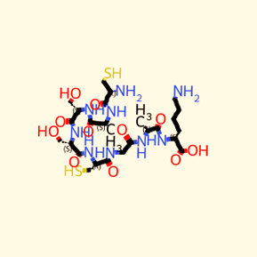 C[C@H](NC(=O)CNC(=O)[C@H](CS)NC(=O)[C@H](CO)NC(=O)[C@H](CO)NC(=O)[C@H](C)NC(=O)[C@@H](N)CS)C(=O)N[C@@H](CCCCN)C(=O)O